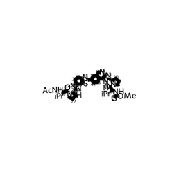 COC(=O)N[C@H](C(=O)N1CCC[C@H]1c1nc2ncc3cc(-c4nc5ccc6nc([C@@H]7CCCN7C(=O)[C@@H](NC(C)=O)C(C)C)[nH]c6c5s4)ccc3c2[nH]1)C(C)C